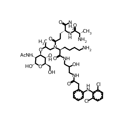 CC(=O)N[C@@H]1[C@@H](OC(C)CN(C(=O)CC[C@@H](NC(=O)[C@H](C)N)C(N)=O)[C@@H](CCCCN)C(=O)NCC(O)CNC(=O)Cc2ccccc2Nc2c(Cl)cccc2Cl)[C@H](O)[C@@H](CO)O[C@@H]1O